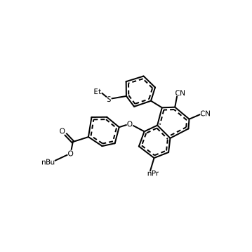 CCCCOC(=O)c1ccc(Oc2cc(CCC)cc3cc(C#N)c(C#N)c(-c4cccc(SCC)c4)c23)cc1